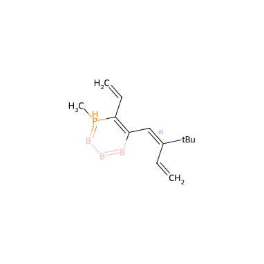 C=CC1=C(/C=C(\C=C)C(C)(C)C)B=BB=[PH]1C